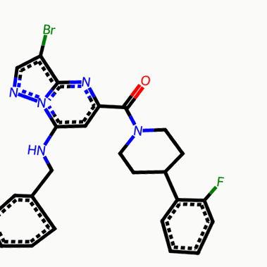 O=C(c1cc(NCc2ccccc2)n2ncc(Br)c2n1)N1CCC(c2ccccc2F)CC1